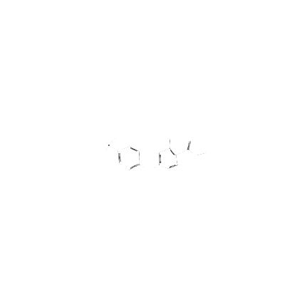 COC(=O)c1ccc(Oc2ccc(C(F)(F)F)cc2)cc1O